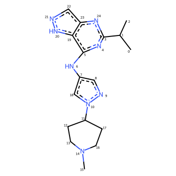 CC(C)c1nc(Nc2cnn(C3CCN(C)CC3)c2)c2[nH]ncc2n1